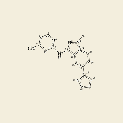 Cn1nc(Nc2cccc(Cl)c2)c2cc(-n3cccn3)ccc21